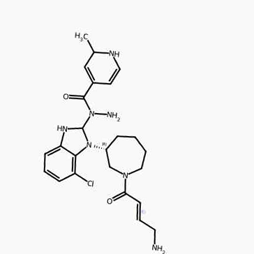 CC1C=C(C(=O)N(N)C2Nc3cccc(Cl)c3N2[C@@H]2CCCCN(C(=O)/C=C/CN)C2)C=CN1